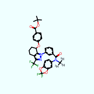 [2H]C([2H])([2H])N(C(=O)c1cccc(-n2nc(C(F)(F)F)c3c2C(Oc2ccc(C(=O)OC(C)(C)C)cc2)CCC3)c1)c1ccc2c(c1)OC(F)(F)O2